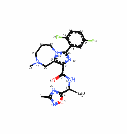 Cc1noc(C(NC(=O)c2nc(-c3cc(F)ccc3F)n3c2CN(C)CCC3)C(C)(C)C)n1